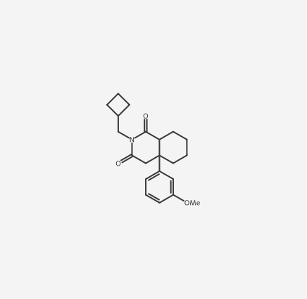 COc1cccc(C23CCCCC2C(=O)N(CC2CCC2)C(=O)C3)c1